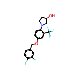 O[C@@H]1CCN(c2ccc(OCc3ccc(F)c(F)c3)cc2C(F)(F)F)C1